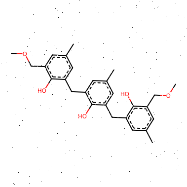 COCc1cc(C)cc(Cc2cc(C)cc(Cc3cc(C)cc(COC)c3O)c2O)c1O